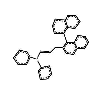 C(=CP(c1ccccc1)c1ccccc1)Cc1ccc2ccccc2c1-c1cccc2ccccc12